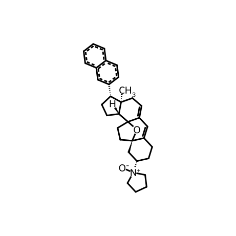 C[C@]12CC=C3C=C4CC[C@H]([N+]5([O-])CCCC5)C[C@]45CCC3(O5)[C@@H]1CC[C@@H]2c1ccc2ccccc2c1